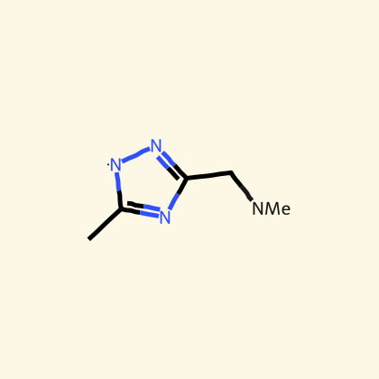 CNCC1=N[N]C(C)=N1